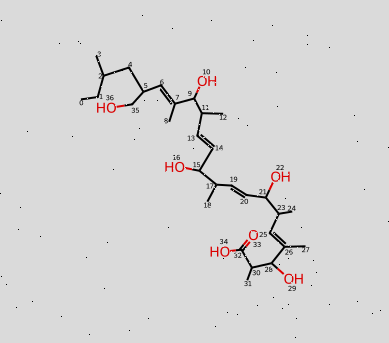 CCC(C)CC(/C=C(\C)C(O)C(C)/C=C/C(O)C(C)/C=C/C(O)C(C)/C=C(\C)C(O)C(C)C(=O)O)CO